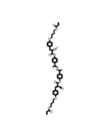 [C-]#[N+]/C(=C\c1ccc(OCCCCOC(=O)C=C)cc1)C(=O)Oc1ccc(/C(C)=N/N=C(\C)c2ccc(OC(=O)/C(C#N)=C/c3ccc(OCCCCOC(=O)C=C)cc3)cc2)cc1